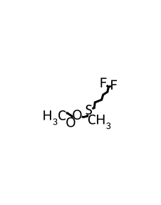 CCC(=O)OCC(C)SCCCCCC(F)F